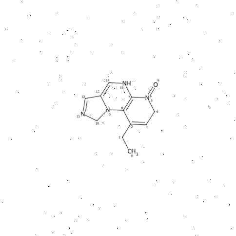 CCC1=CC[N+](=O)C2=C1N1CN=CC1=CN2